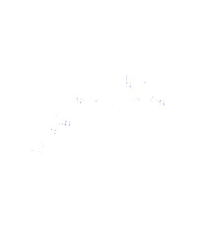 Cc1cc(CC(=O)N[C@H]2CC[C@H](CCN3CCc4sc(N5CC(C(F)(F)F)C5)nc4C3)CC2)on1